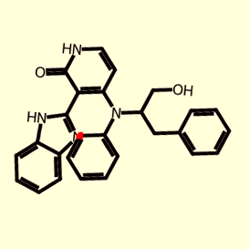 O=c1[nH]ccc(N(c2ccccc2)C(CO)Cc2ccccc2)c1-c1nc2ccccc2[nH]1